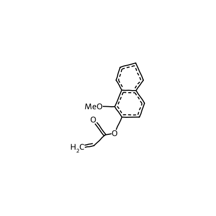 C=CC(=O)Oc1ccc2ccccc2c1OC